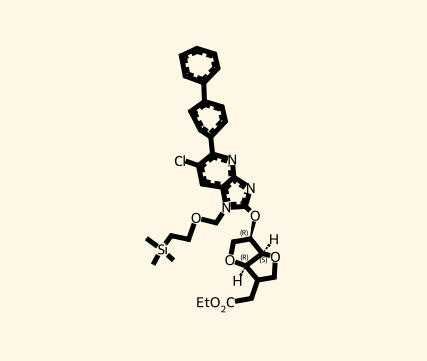 CCOC(=O)CC1CO[C@H]2[C@@H]1OC[C@H]2Oc1nc2nc(-c3ccc(-c4ccccc4)cc3)c(Cl)cc2n1COCC[Si](C)(C)C